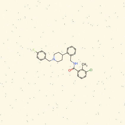 Cc1c(Cl)cccc1C(=O)NCc1ccccc1C1CCN(Cc2ccc(F)cc2)CC1